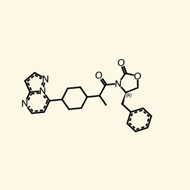 CC(C(=O)N1C(=O)OC[C@H]1Cc1ccccc1)C1CCC(c2ccnc3ccnn23)CC1